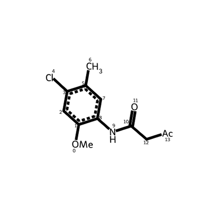 COc1cc(Cl)c(C)cc1NC(=O)CC(C)=O